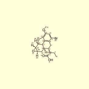 CCN(C(=O)O)[C@@H]1Cc2c(Br)cc(OC)c3c2C2[C@H]1C[C@@H]1O[C@@H]1[C@@H]2O3